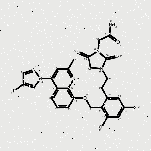 Cc1cc(-n2cc(F)cn2)c2cccc(OCc3c(Cl)cc(F)cc3CCN3CC(=O)N(CC(N)=O)C3=O)c2n1